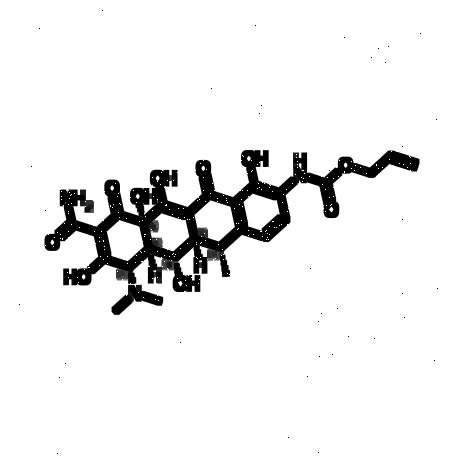 C=CCOC(=O)Nc1ccc2c(c1O)C(=O)C1=C(O)[C@]3(O)C(=O)C(C(N)=O)=C(O)[C@@H](N(C)C)[C@@H]3[C@@H](O)[C@@H]1[C@H]2C